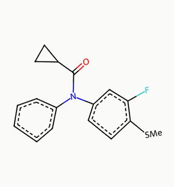 CSc1ccc(N(C(=O)C2CC2)c2ccccc2)cc1F